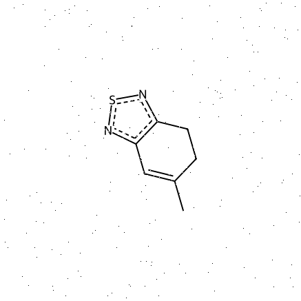 CC1=Cc2nsnc2CC1